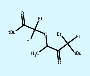 CCCCC(CC)(CC)C(=O)C(C)OC(CC)(CC)C(=O)C(C)(C)C